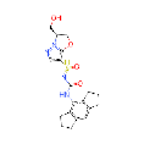 O=C(N=[SH](=O)c1cnn2c1OC[C@@H]2CO)Nc1c2c(cc3c1CCC3)CCC2